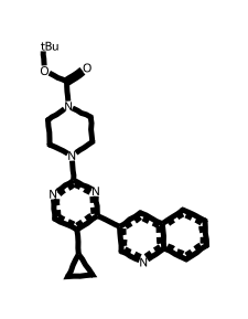 CC(C)(C)OC(=O)N1CCN(c2ncc(C3CC3)c(-c3cnc4ccccc4c3)n2)CC1